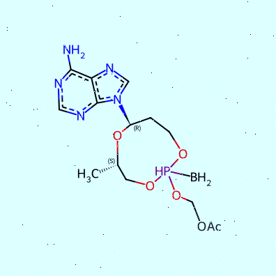 B[PH]1(OCOC(C)=O)OCC[C@H](n2cnc3c(N)ncnc32)O[C@@H](C)CO1